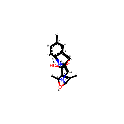 CC1=C(C(=O)O)C2(C)OC1N2/C=C1/C=c2cc(C)ccc2=N1